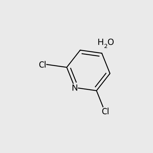 Clc1cccc(Cl)n1.O